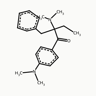 CCC(Cc1ccccc1)(C(=O)c1ccc(N(C)C)cc1)N(C)C